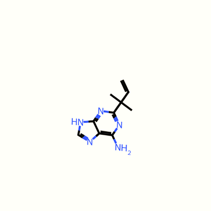 C=CC(C)(C)c1nc(N)c2nc[nH]c2n1